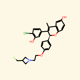 CC1=C(c2ccc(Cl)c(O)c2)[C@H](c2ccc(OCCN3CC(CF)C3)cc2)Oc2ccc(O)cc21